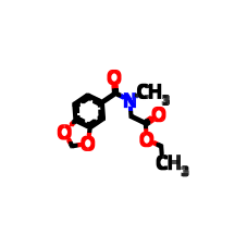 CCOC(=O)CN(C)C(=O)c1ccc2c(c1)OCO2